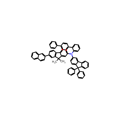 CC1(C)c2cc(-c3ccc4ccccc4c3)ccc2-c2ccc(N(c3ccc4c(c3)-c3ccccc3C4(c3ccccc3)c3ccccc3)c3ccccc3-c3ccc(-c4ccccc4)cc3)cc21